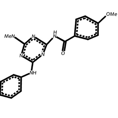 CNc1nc(NC(=O)c2ccc(OC)cc2)nc(Nc2ccccc2)n1